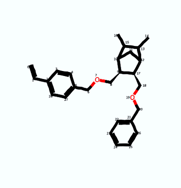 C=Cc1ccc(COC[C@H]2C3CC(C(C)C3C)[C@H]2COCc2ccccc2)cc1